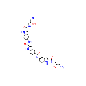 NCC(O)CNC(=O)c1cc2cc(NC(=O)c3ccc4[nH]c(C(=O)Nc5ccc6[nH]c(C(=O)NCC(O)CN)cc6c5)cc4c3)ccc2[nH]1